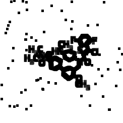 CN[C@H]1CC[C@H](N(Cc2cc(-c3ccc(S(=O)(=O)N(C)C)cc3)ccc2OC)C(=O)c2sc3c(F)ccc(F)c3c2Cl)CC1